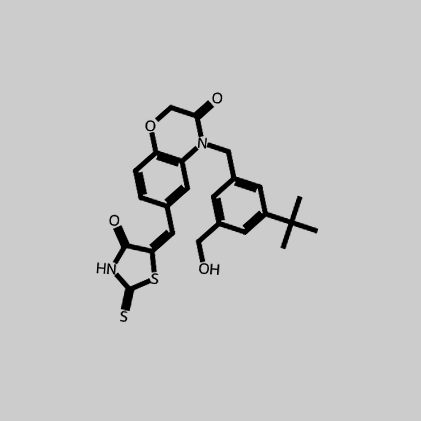 CC(C)(C)c1cc(CO)cc(CN2C(=O)COc3ccc(C=C4SC(=S)NC4=O)cc32)c1